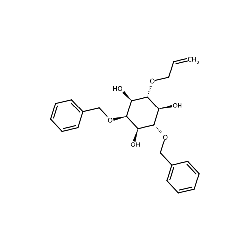 C=CCO[C@@H]1[C@@H](O)[C@H](OCc2ccccc2)[C@@H](O)[C@@H](OCc2ccccc2)[C@H]1O